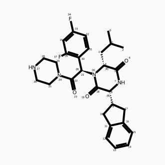 CC(C)C[C@@H]1C(=O)N[C@H](C2Cc3ccccc3C2)C(=O)N1[C@@H](C(=O)N1CCNCC1)c1ccc(F)cc1F